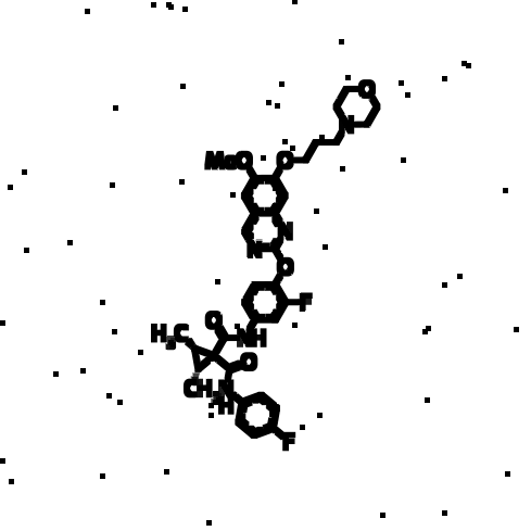 COc1cc2cnc(Oc3ccc(NC(=O)C4(C(=O)Nc5ccc(F)cc5)[C@H](C)[C@H]4C)cc3F)nc2cc1OCCCN1CCOCC1